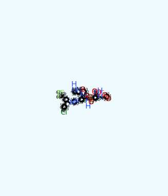 CC(C)([C@H]1CCC(CN2CCN(c3ccc(C(=O)NS(=O)(=O)c4ccc(NC[C@H]5COCCO5)c([N+](=O)[O-])c4)c(N4CCCOc5nc6[nH]ccc6cc54)c3)CC2)=C(c2ccc(Cl)cc2)C1)C(F)(F)F